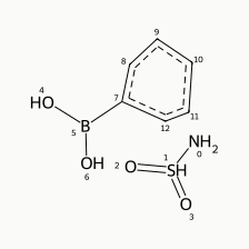 N[SH](=O)=O.OB(O)c1ccccc1